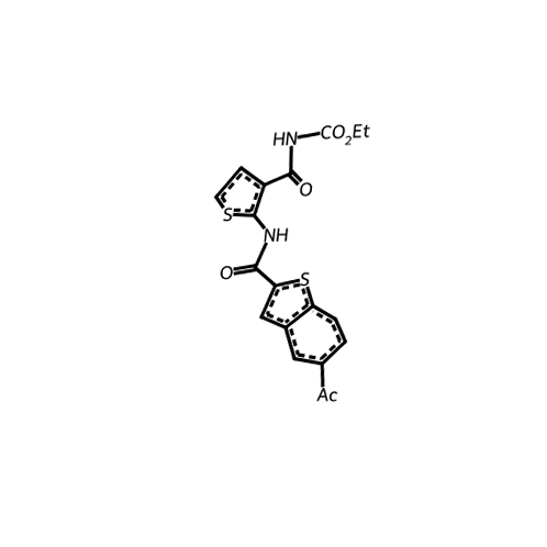 CCOC(=O)NC(=O)c1ccsc1NC(=O)c1cc2cc(C(C)=O)ccc2s1